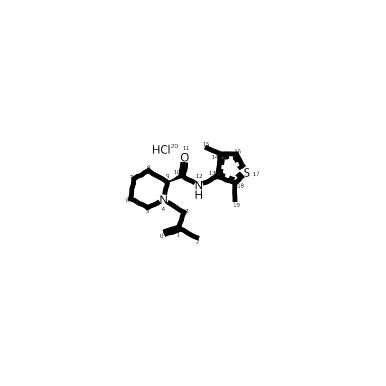 C=C(C)CN1CCCC[C@H]1C(=O)Nc1c(C)csc1C.Cl